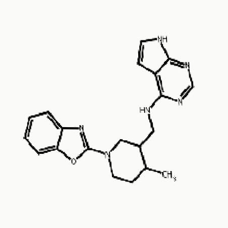 CC1CCN(c2nc3ccccc3o2)CC1CNc1ncnc2[nH]ccc12